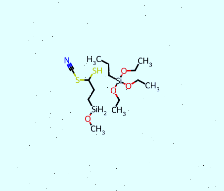 CCC[Si](OCC)(OCC)OCC.CO[SiH2]CCC(S)SC#N